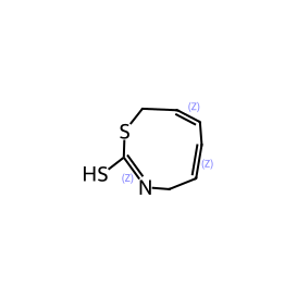 S/C1=N/C/C=C\C=C/CS1